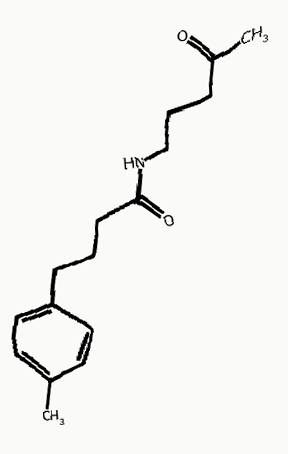 CC(=O)CCCNC(=O)CCCc1ccc(C)cc1